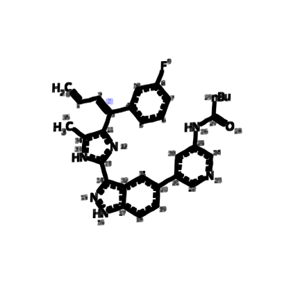 C=C/C=C(/c1cccc(F)c1)c1nc(-c2n[nH]c3ccc(-c4cncc(NC(=O)CCCC)c4)cc23)[nH]c1C